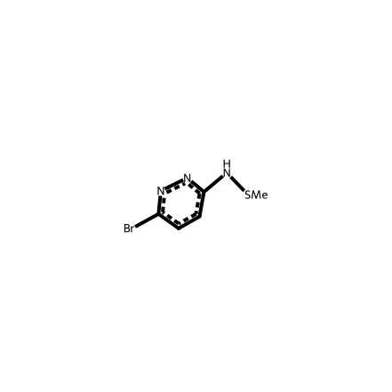 CSNc1ccc(Br)nn1